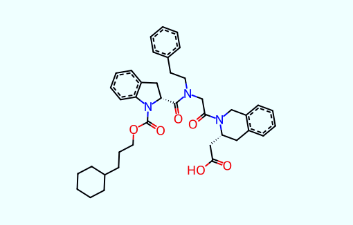 O=C(O)C[C@H]1Cc2ccccc2CN1C(=O)CN(CCc1ccccc1)C(=O)[C@H]1Cc2ccccc2N1C(=O)OCCCC1CCCCC1